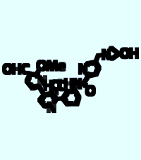 COc1nc(-c2ccnc(-c3cccc(NC(=O)c4ccc(CN5CC(O)C5)cn4)c3C)c2Cl)ccc1C=O